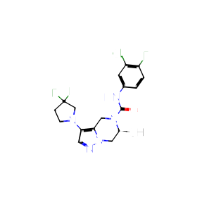 C[C@H]1Cn2ncc(N3CCC(F)(F)C3)c2CN1C(=O)Nc1ccc(F)c(Cl)c1